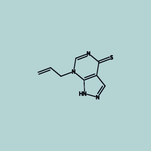 C=CCn1cnc(=S)c2cn[nH]c21